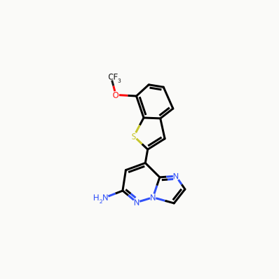 Nc1cc(-c2cc3cccc(OC(F)(F)F)c3s2)c2nccn2n1